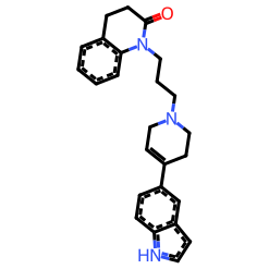 O=C1CCc2ccccc2N1CCCN1CC=C(c2ccc3[nH]ccc3c2)CC1